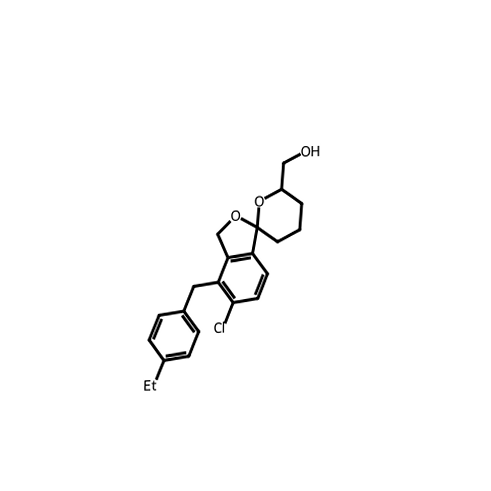 CCc1ccc(Cc2c(Cl)ccc3c2COC32CCCC(CO)O2)cc1